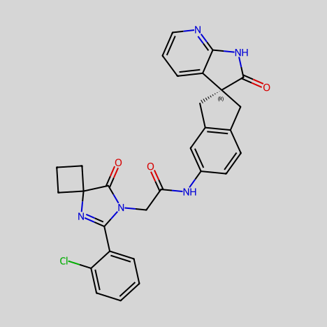 O=C(CN1C(=O)C2(CCC2)N=C1c1ccccc1Cl)Nc1ccc2c(c1)C[C@@]1(C2)C(=O)Nc2ncccc21